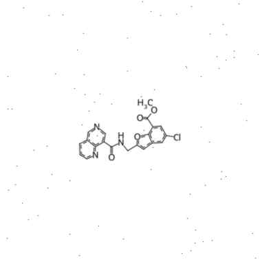 COC(=O)c1cc(Cl)cc2cc(CNC(=O)c3cncc4cccnc34)oc12